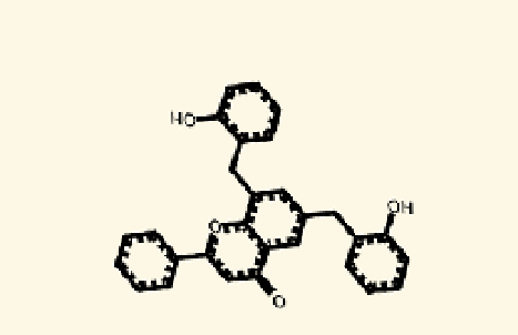 O=c1cc(-c2ccccc2)oc2c(Cc3ccccc3O)cc(Cc3ccccc3O)cc12